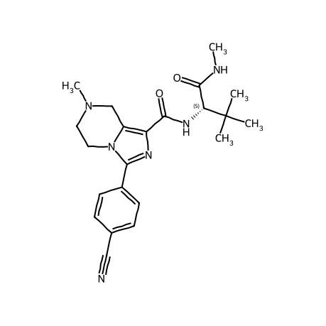 CNC(=O)[C@@H](NC(=O)c1nc(-c2ccc(C#N)cc2)n2c1CN(C)CC2)C(C)(C)C